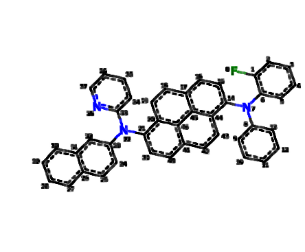 Fc1ccccc1N(c1ccccc1)c1ccc2ccc3c(N(c4ccc5ccccc5c4)c4ccccn4)ccc4ccc1c2c43